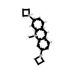 C[n+]1c2cc(N3CCC3)ccc2cc2ccc(N3CCC3)cc21